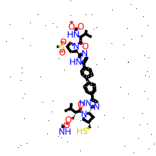 COC(=O)N[C@H](C(=O)N1C[C@@H](S(C)(=O)=O)C[C@@H]1c1ncc(-c2ccc(-c3ccc(-c4cnc([C@@H]5C[C@H](CS)CN5C(=O)[C@H](COOC=N)C(C)C)[nH]4)cc3)cc2)[nH]1)C(C)C